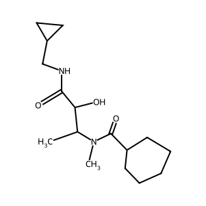 CC(C(O)C(=O)NCC1CC1)N(C)C(=O)C1CCCCC1